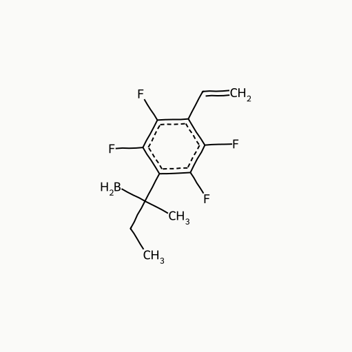 BC(C)(CC)c1c(F)c(F)c(C=C)c(F)c1F